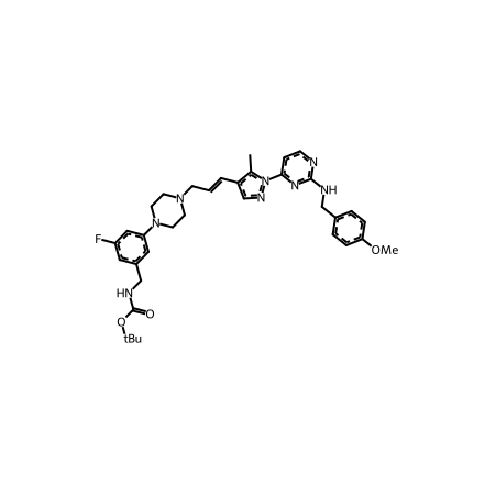 COc1ccc(CNc2nccc(-n3ncc(/C=C/CN4CCN(c5cc(F)cc(CNC(=O)OC(C)(C)C)c5)CC4)c3C)n2)cc1